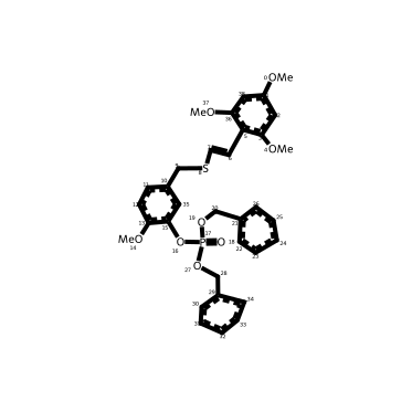 COc1cc(OC)c(C=CSCc2ccc(OC)c(OP(=O)(OCc3ccccc3)OCc3ccccc3)c2)c(OC)c1